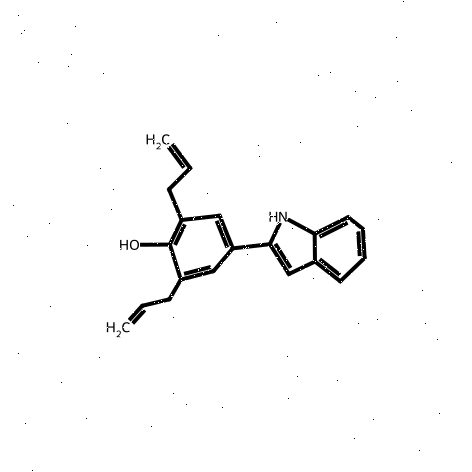 C=CCc1cc(-c2cc3ccccc3[nH]2)cc(CC=C)c1O